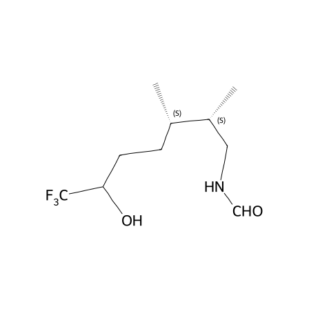 C[C@H](CNC=O)[C@@H](C)CCC(O)C(F)(F)F